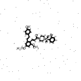 COc1cc(/C=C/c2ccc(O)cc2)c(/C=C/C(=O)N2CCN(S(=O)(=O)c3ccccc3Br)CC2)c(OC)c1